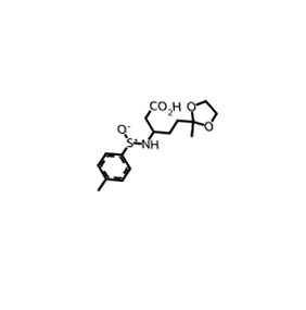 Cc1ccc([S+]([O-])NC(CCC2(C)OCCO2)CC(=O)O)cc1